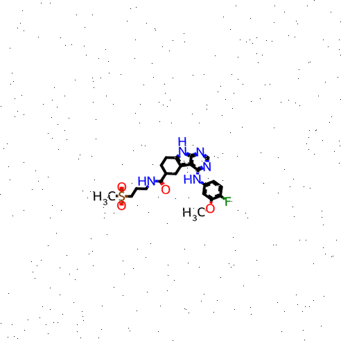 COc1cc(Nc2ncnc3[nH]c4c(c23)CC(C(=O)NCCCS(C)(=O)=O)CC4)ccc1F